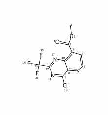 COC(=O)c1cccc2c(Cl)nc(C(F)(F)F)nc12